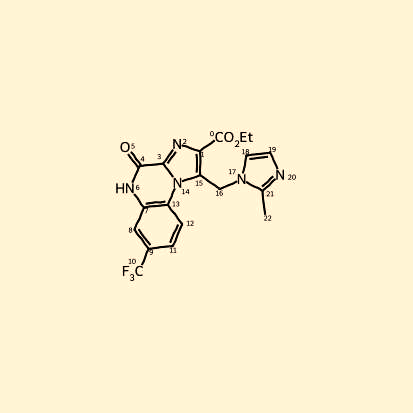 CCOC(=O)c1nc2c(=O)[nH]c3cc(C(F)(F)F)ccc3n2c1Cn1ccnc1C